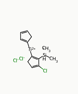 C[SiH](C)C1=[C]([Ti+2][C]2=CC=CC2)CC=C1Cl.[Cl-].[Cl-]